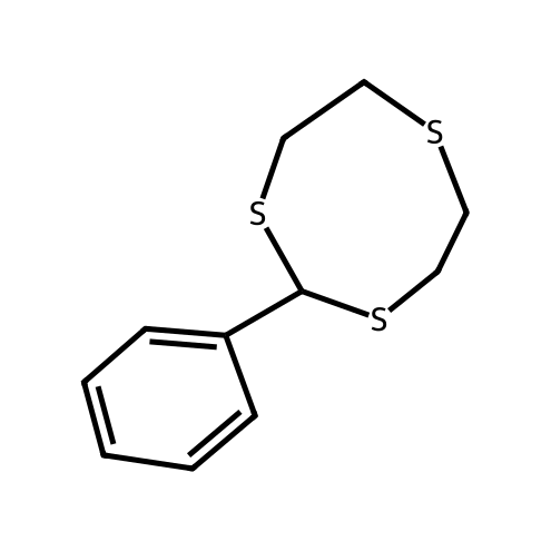 c1ccc(C2SCCSCCS2)cc1